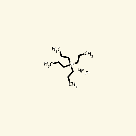 CCC[N+](CCC)(CCC)CCC.F.[F-]